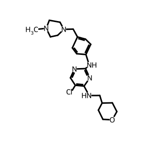 CN1CCN(Cc2ccc(Nc3ncc(Cl)c(NCC4CCOCC4)n3)cc2)CC1